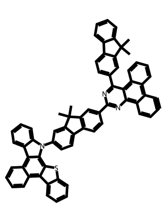 CC1(C)c2ccccc2-c2ccc(-c3nc(-c4ccc5c(c4)C(C)(C)c4cc(-n6c7ccccc7c7c8ccccc8c8c9ccccc9sc8c76)ccc4-5)nc4c5ccc#cc5c5ccccc5c34)cc21